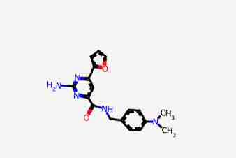 CN(C)c1ccc(CNC(=O)c2cc(-c3ccco3)nc(N)n2)cc1